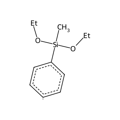 CCO[Si](C)(OCC)c1cc[c]cc1